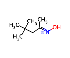 C/C(CC(C)(C)C)=N\O